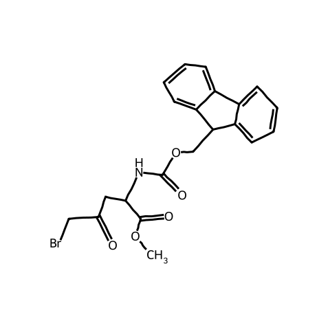 COC(=O)C(CC(=O)CBr)NC(=O)OCC1c2ccccc2-c2ccccc21